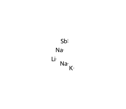 [K].[Li].[Na].[Na].[Sb]